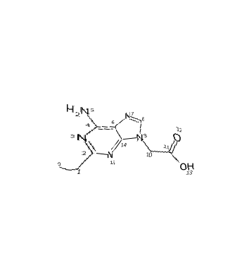 CCc1nc(N)c2ncn(CC(=O)O)c2n1